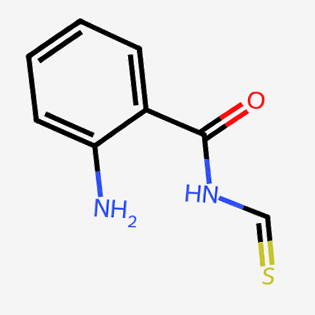 Nc1ccccc1C(=O)NC=S